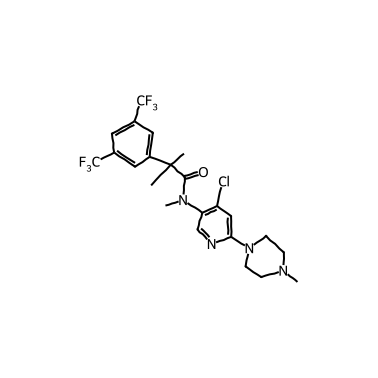 CN1CCN(c2cc(Cl)c(N(C)C(=O)C(C)(C)c3cc(C(F)(F)F)cc(C(F)(F)F)c3)cn2)CC1